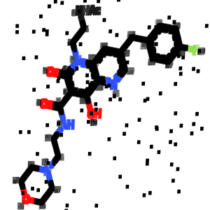 CC(=O)NCCn1c(=O)c(C(=O)NCCN2CCOCC2)c(O)c2ncc(Cc3ccc(F)cc3)cc21